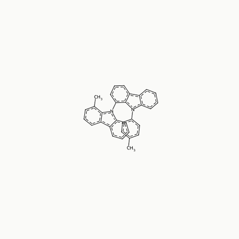 Cc1ccc(-n2c3ccccc3c3cccc(-n4c5ccccc5c5cccc(C)c54)c32)cc1